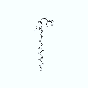 CCN(CCOCCOCCOCCOC)c1cccc(OC)c1